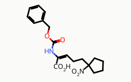 O=C(NC(=CCCC1([N+](=O)[O-])CCCC1)C(=O)O)OCc1ccccc1